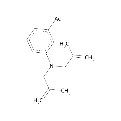 C=C(C)CN(CC(=C)C)c1cccc(C(C)=O)c1